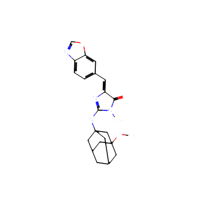 COC12CC3CC(CC(NC4=N/C(=C\c5ccc6ncoc6c5)C(=O)N4C)(C3)C1)C2